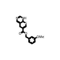 COc1cccc(COC(=O)C2=CSC3NC=NC=C3C2)c1